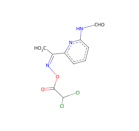 O=CNc1cccc(/C(=N\OC(=O)C(Cl)Cl)C(=O)O)n1